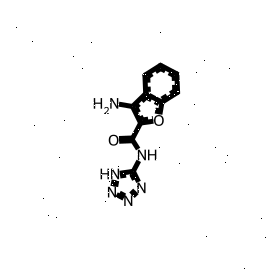 Nc1c(C(=O)Nc2nnn[nH]2)oc2ccccc12